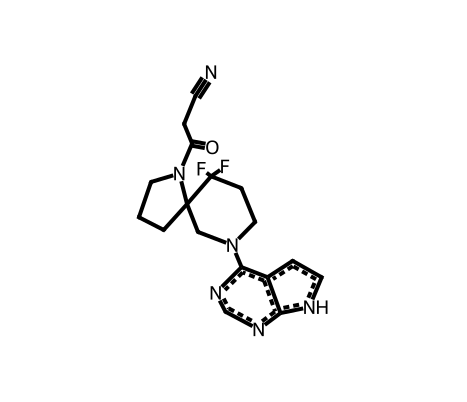 N#CCC(=O)N1CCCC12CN(c1ncnc3[nH]ccc13)CCC2(F)F